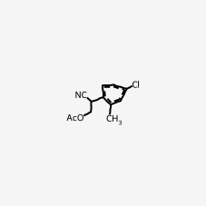 CC(=O)OCC(C#N)c1ccc(Cl)cc1C